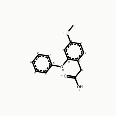 COc1ccc(CC(=O)O)c(Oc2ccccc2)c1